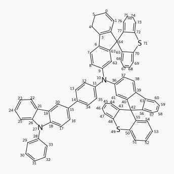 C1=CC2=C(CC1)c1ccc(N(c3ccc(-c4ccc5c(c4)c4ccccc4n5-c4ccccc4)cc3)c3ccc4c(c3)C3(c5ccccc5Sc5ccccc53)c3ccccc3-4)cc1C21c2ccccc2Sc2ccccc21